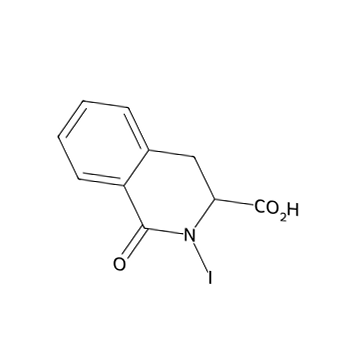 O=C(O)C1Cc2ccccc2C(=O)N1I